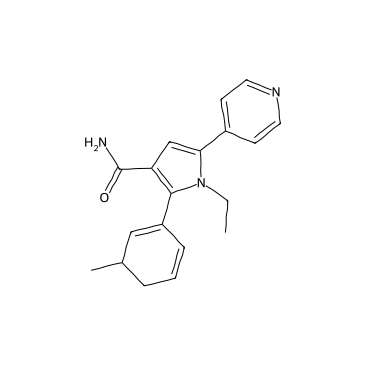 CCn1c(-c2ccncc2)cc(C(N)=O)c1C1=CC(C)CC=C1